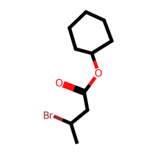 CC(Br)CC(=O)OC1CCCCC1